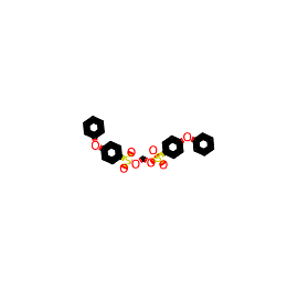 O=S(=O)(OCOS(=O)(=O)c1ccc(Oc2ccccc2)cc1)c1ccc(Oc2ccccc2)cc1